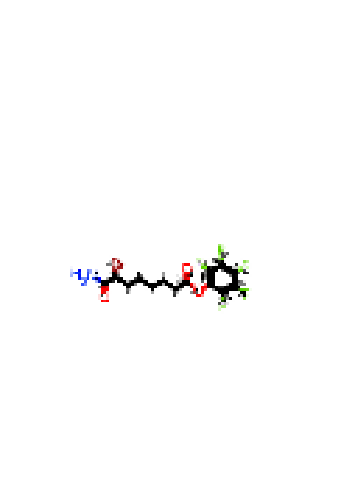 NC(=O)C(Br)CCCCCC(=O)Oc1c(F)c(F)c(F)c(F)c1F